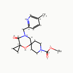 CC(C)(C)OC(=O)N1CCC2(CC1)CN(Cc1ccc(C(F)(F)F)cn1)C(=O)C1(CC1)O2